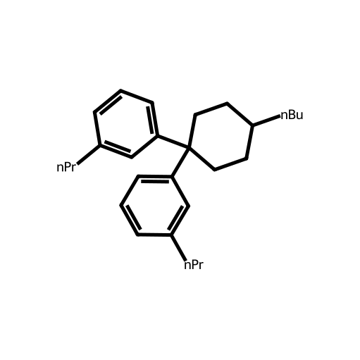 CCCCC1CCC(c2cccc(CCC)c2)(c2cccc(CCC)c2)CC1